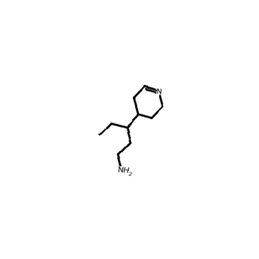 CCC(CCN)C1CC=NCC1